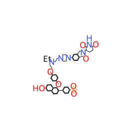 CCN(CCOc1ccc(Oc2c(-c3ccc(S(C)(=O)=O)cc3)ccc3cc(O)ccc23)cc1)CCN1CCN(c2ccc3c(c2)CN(C2CCC(=O)NC2=O)C3=O)CC1